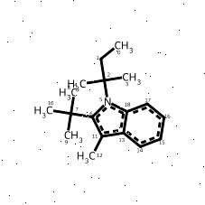 CCC(C)(C)n1c(C(C)(C)C)c(C)c2ccccc21